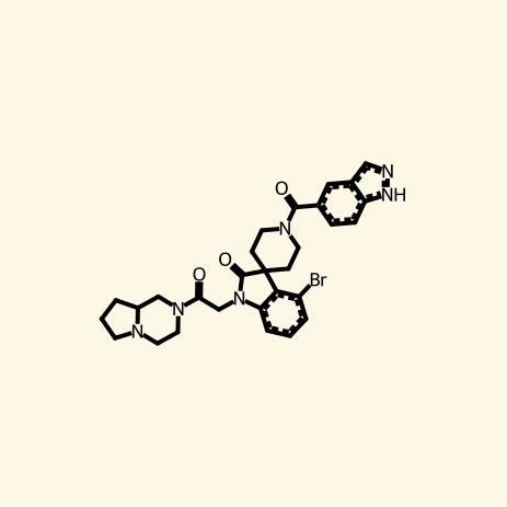 O=C(CN1C(=O)C2(CCN(C(=O)c3ccc4[nH]ncc4c3)CC2)c2c(Br)cccc21)N1CCN2CCCC2C1